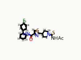 CC(=O)NC(=S)N1CCC(c2nc(C(=O)Nc3ccccc3-c3ccc(F)cc3)cs2)CC1